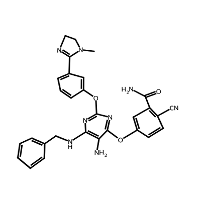 CN1CCN=C1c1cccc(Oc2nc(NCc3ccccc3)c(N)c(Oc3ccc(C#N)c(C(N)=O)c3)n2)c1